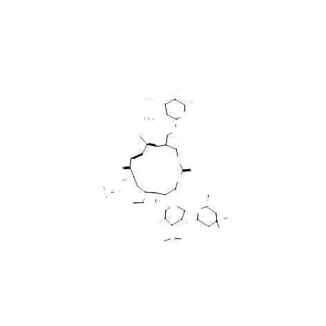 CC[C@H]1OC(=O)C[C@@H](O)[C@H](C)[C@@H](O[C@@H]2O[C@H](C)[C@@H](O[C@H]3C[C@@](C)(O)[C@@H](O)[C@H](C)O3)[C@H](N(C)C)[C@H]2O)[C@@H](CC=O)C[C@@H](C)C(=O)/C=C/C(C)=C/C1CO[C@@H]1O[C@H](C)[C@@H](O)[C@@H](OC)[C@H]1OC.OB(O)O